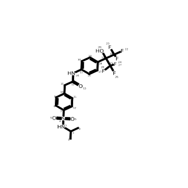 CC(C)NS(=O)(=O)c1ccc(CC(=O)Nc2ccc(C(O)(C(F)(F)F)C(F)(F)F)cc2)cc1